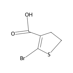 O=C(O)C1=C(Br)SCC1